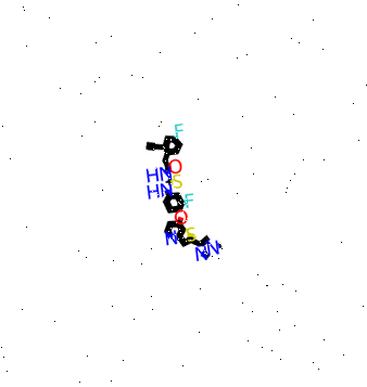 C#Cc1cc(F)ccc1CC(=O)NC(=S)Nc1ccc(Oc2ccnc3cc(-c4cn(C)cn4)sc23)c(F)c1